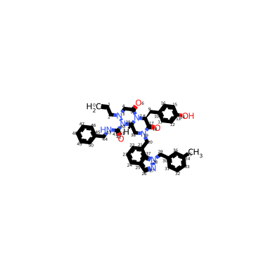 C=CCN1CC(=O)N2[C@@H](Cc3ccc(O)cc3)C(=O)N(Cc3cccc4cnn(Cc5cccc(C)c5)c34)C[C@@H]2N1C(=O)NCc1ccccc1